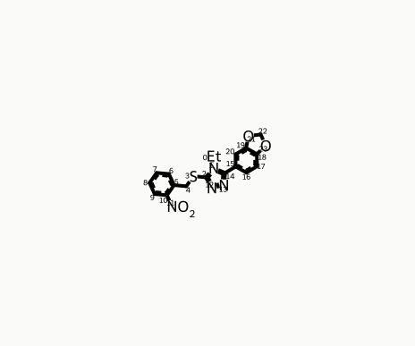 CCn1c(SCc2ccccc2[N+](=O)[O-])nnc1-c1ccc2c(c1)OCO2